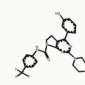 O=C(Nc1ccc(C(F)(F)F)cc1)N1CCc2c(-c3cccc(O)c3)nc(N3CCOCC3)nc21